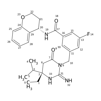 CC[C@@]1(C(C)C)CC(=O)N(Cc2cc(F)cc(C(=O)N[C@H]3CCOc4ccccc43)c2)C(=N)N1